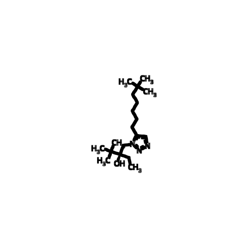 CC[C@@](O)(Cn1nncc1CCCCCC(C)(C)C)C(C)(C)C